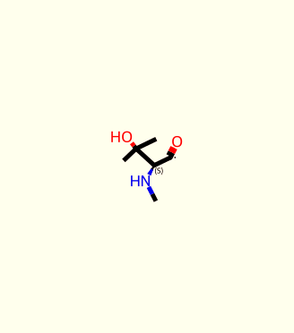 CN[C@H]([C]=O)C(C)(C)O